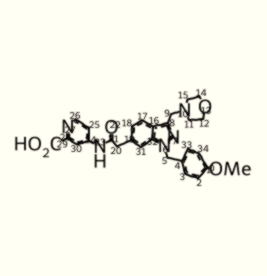 COc1ccc(Cn2nc(CN3CCOCC3)c3ccc(CC(=O)Nc4ccnc(C(=O)O)c4)cc32)cc1